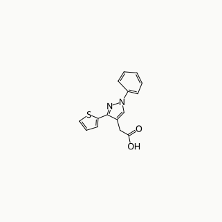 O=C(O)Cc1cn(-c2ccccc2)nc1-c1cccs1